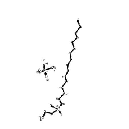 CCCCCCCCCCCCCCCC[N+](C)(C)CCO.O=P(O)(O)O